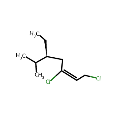 CC[C@@H](C/C(Cl)=C\CCl)C(C)C